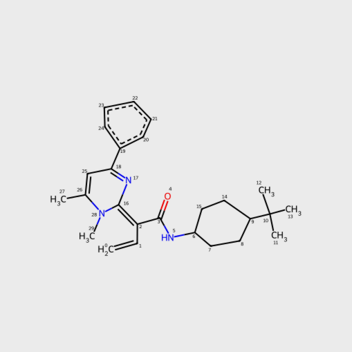 C=C/C(C(=O)NC1CCC(C(C)(C)C)CC1)=C1/N=C(c2ccccc2)C=C(C)N1C